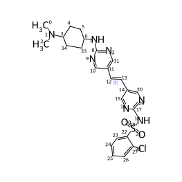 CN(C)C1CCC(Nc2ncc(/C=C/c3cnc(NS(=O)(=O)c4ccccc4Cl)nc3)cn2)CC1